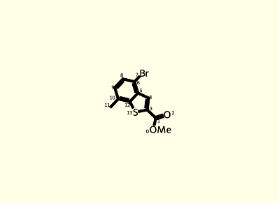 COC(=O)c1cc2c(Br)ccc(C)c2s1